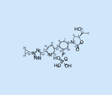 CC(O)[C@@H]1CN(c2ccc(-c3ccc(-c4nnn(C5CC5)n4)nc3)c(F)c2)C(=O)O1.O=P(O)(O)O